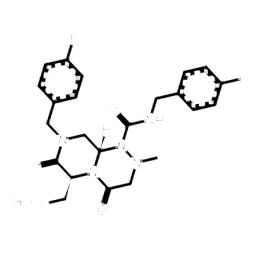 CN1CC(=O)N2[C@@H](CC(=O)O)C(=O)N(Cc3ccc(F)cc3)C[C@@H]2N1C(=O)NCc1ccc(F)cc1